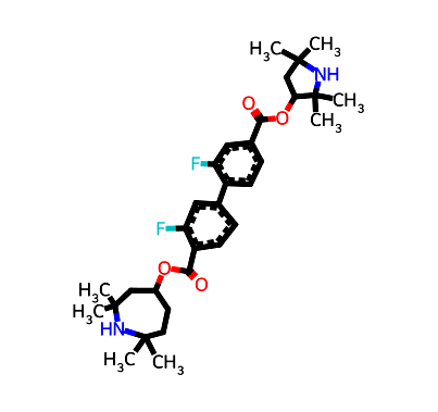 CC1(C)CCC(OC(=O)c2ccc(-c3ccc(C(=O)OC4CC(C)(C)NC4(C)C)cc3F)cc2F)CC(C)(C)N1